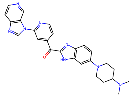 CN(C)C1CCN(c2ccc3nc(C(=O)c4ccnc(-n5cnc6ccncc65)c4)[nH]c3c2)CC1